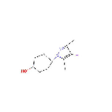 Cc1nn(C2CCC(O)CC2)c(C)c1I